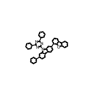 c1ccc(-c2ccc3c4ccc(-c5cccc6c5oc5ccccc56)cc4n(-c4nc(-c5ccccc5)nc(-c5ccccc5)n4)c3c2)cc1